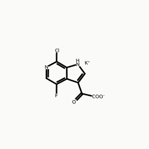 O=C([O-])C(=O)c1c[nH]c2c(Cl)ncc(F)c12.[K+]